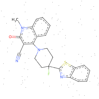 Cn1c(=O)c(C#N)c(N2CCC(F)(c3nc4ccccc4s3)CC2)c2ccccc21